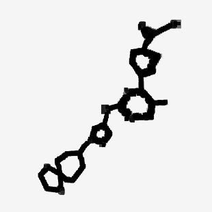 Cc1cnc(Nc2cnn(C3CCC4(CC3)OCCO4)c2)nc1-c1ccc(C(=O)O)cc1